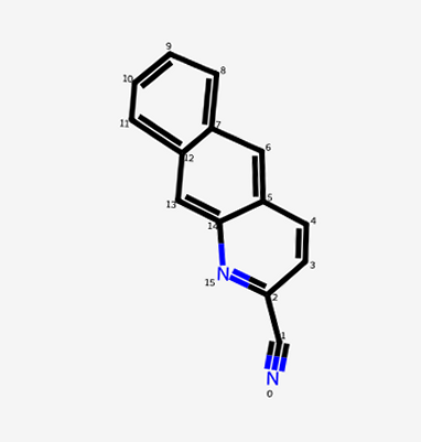 N#Cc1ccc2cc3ccccc3cc2n1